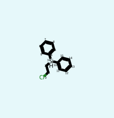 ClCC[SiH](c1ccccc1)c1ccccc1